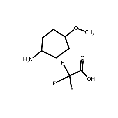 COC1CCC(N)CC1.O=C(O)C(F)(F)F